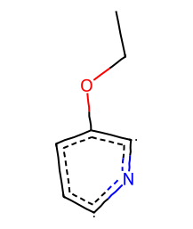 CCOc1[c]n[c]cc1